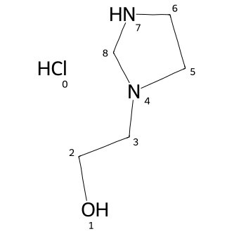 Cl.OCCN1CCNC1